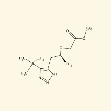 C[C@@H](Cc1[nH]nnc1[Si](C)(C)C)OCC(=O)OC(C)(C)C